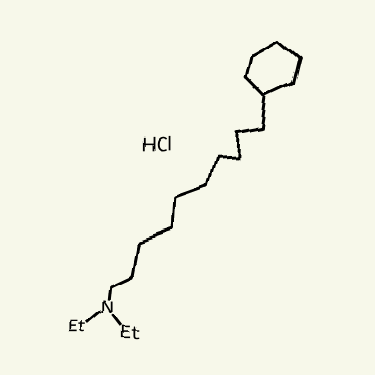 CCN(CC)CCCCCCCCCCC1CCCCC1.Cl